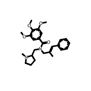 COc1cc(C(=O)N(CC(C)=Cc2ccccc2)CC2CCCN2C)cc(OC)c1OC